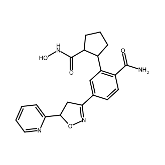 NC(=O)c1ccc(C2=NOC(c3ccccn3)C2)cc1C1CCCC1C(=O)NO